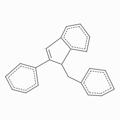 [C]1=C(c2ccccc2)C(Cc2ccccc2)c2ccccc21